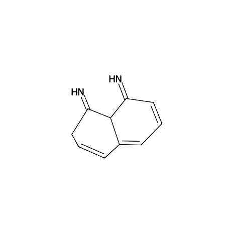 N=C1C=CC=C2C=CCC(=N)C12